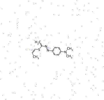 C=C(/N=N/c1ccc(N(C)C)cc1)S/C=C\C